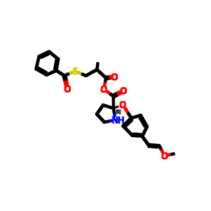 COC=Cc1ccc(O[C@@]2(C(=O)OC(=O)C(C)CSC(=O)c3ccccc3)CCCN2)cc1